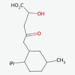 CC1CCC(C(C)C)C(CC(=O)CC(O)C(=O)O)C1